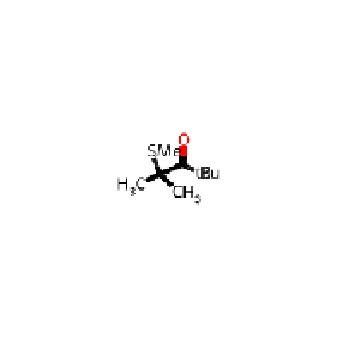 CSC(C)(C)C(=O)C(C)(C)C